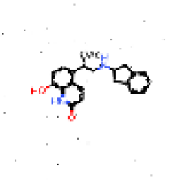 CC(=O)OC(CNC1Cc2ccccc2C1)c1ccc(O)c2[nH]c(=O)ccc12